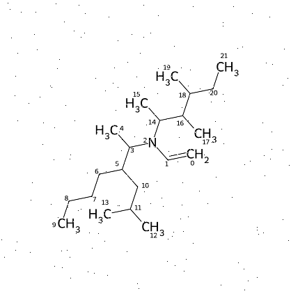 C=CN(C(C)C(CCCC)CC(C)C)C(C)C(C)C(C)CC